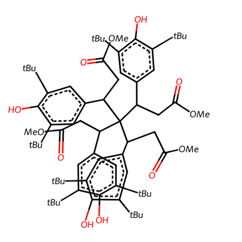 COC(=O)CC(c1cc(C(C)(C)C)c(O)c(C(C)(C)C)c1)C(C(CC(=O)OC)c1cc(C(C)(C)C)c(O)c(C(C)(C)C)c1)(C(CC(=O)OC)c1cc(C(C)(C)C)c(O)c(C(C)(C)C)c1)C(CC(=O)OC)c1cc(C(C)(C)C)c(O)c(C(C)(C)C)c1